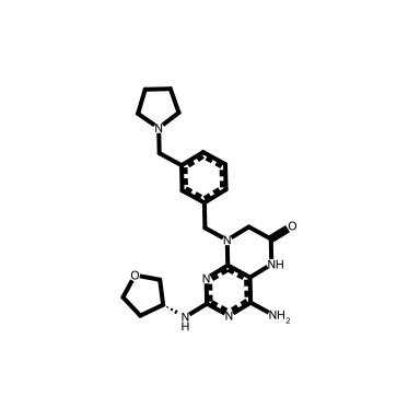 Nc1nc(N[C@@H]2CCOC2)nc2c1NC(=O)CN2Cc1cccc(CN2CCCC2)c1